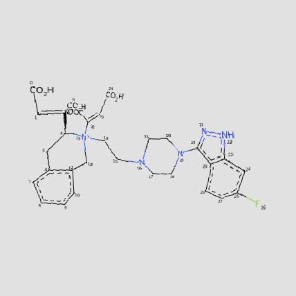 O=C(O)/C=C(\C(=O)O)[C@@H]1Cc2ccccc2C[N+]1(CCN1CCN(c2n[nH]c3cc(F)ccc23)CC1)/C(=C/C(=O)O)C(=O)[O-]